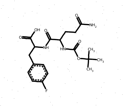 CC(C)(C)OC(=O)NC(CCC(N)=O)C(=O)NC(Cc1ccc(F)cc1)C(=O)O